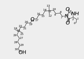 CCC1NC(=O)N(CCCCC(C)(C)CCCCOCCCCC(C)(C)CCCCCO)C1=O